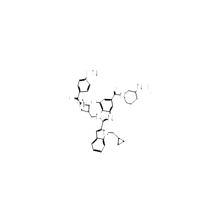 COc1cc(C(=O)N2CCCC(N)C2)cc2nc(-c3cc4ccccc4n3CC3CC3)n(CC3CN(C(=O)c4ccc(C#N)cc4)C3)c12